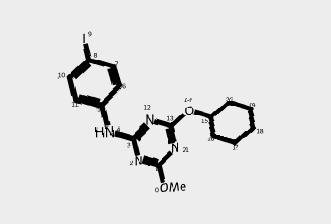 COc1nc(Nc2ccc(I)cc2)nc(OC2CCCCC2)n1